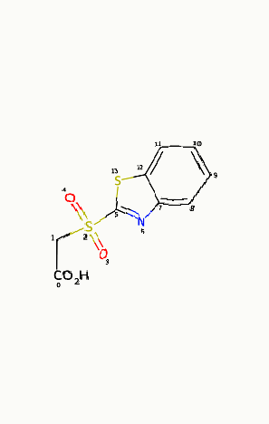 O=C(O)CS(=O)(=O)c1nc2ccccc2s1